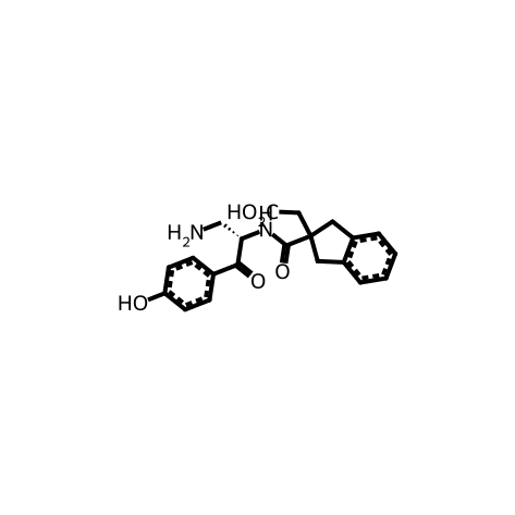 NC[C@H](NC(=O)C1(CC(=O)O)Cc2ccccc2C1)C(=O)c1ccc(O)cc1